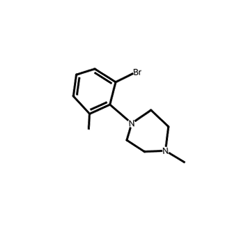 Cc1cccc(Br)c1N1CCN(C)CC1